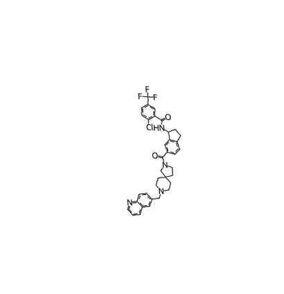 O=C(NC1CCc2ccc(C(=O)N3CCC4(CCN(Cc5ccc6ncccc6c5)CC4)C3)cc21)c1cc(C(F)(F)F)ccc1Cl